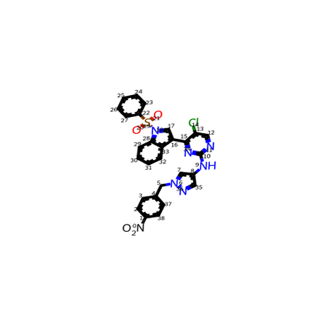 O=[N+]([O-])c1ccc(Cn2cc(Nc3ncc(Cl)c(-c4cn(S(=O)(=O)c5ccccc5)c5ccccc45)n3)cn2)cc1